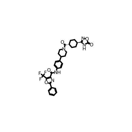 O=C(Nc1ccc(C2CCN(C(=O)[C@H]3CC[C@H](c4noc(=O)[nH]4)CC3)CC2)cc1)c1nc(-c2ccccc2)oc1C(F)(F)F